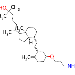 C=C1CC[C@H](OCCCN)C/C1=C\C=C1\CCC[C@]2(C)[C@@H]([C@H](C)CCCC(C)(C)O)CC[C@@H]12